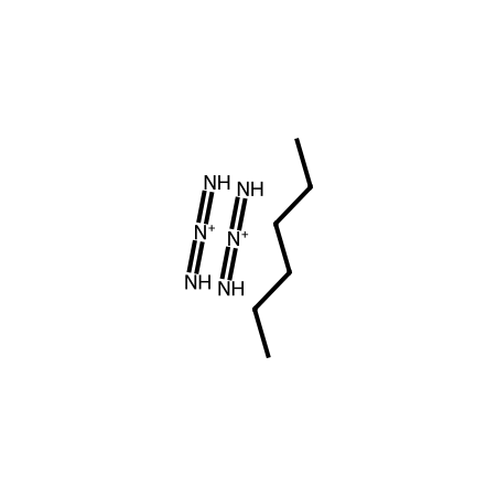 CCCCCC.N=[N+]=N.N=[N+]=N